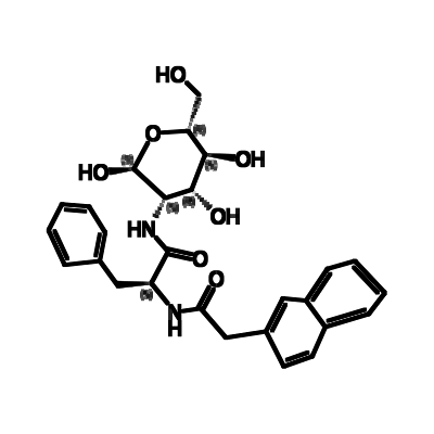 O=C(Cc1ccc2ccccc2c1)N[C@@H](Cc1ccccc1)C(=O)N[C@H]1[C@@H](O)[C@H](O)[C@@H](CO)O[C@@H]1O